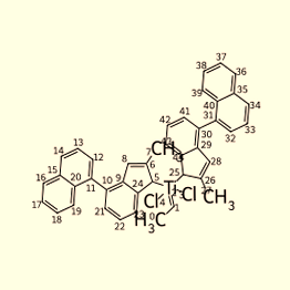 C[CH]=[Ti]([Cl])([Cl])([CH]1C(C)=Cc2c(-c3cccc4ccccc34)cccc21)[CH]1C(C)=Cc2c(-c3cccc4ccccc34)cccc21